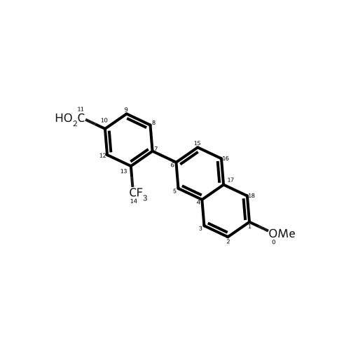 COc1ccc2cc(-c3ccc(C(=O)O)cc3C(F)(F)F)ccc2c1